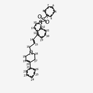 O=S(=O)(c1ccccc1)n1ccc2c(C=CCN3CC=C(c4ccccc4)CC3)cccc21